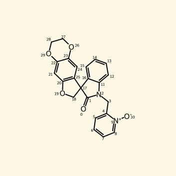 O=C1N(Cc2cccc[n+]2[O-])c2ccccc2C12COc1cc3c(cc12)OCCO3